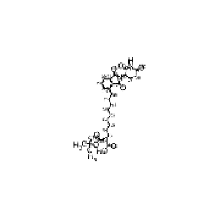 CC(C)(C)OC(=O)N(CCCCCCCCCc1cccc2c1C(=O)N(C1CCC(=O)NC1=O)C2=O)C(=O)O